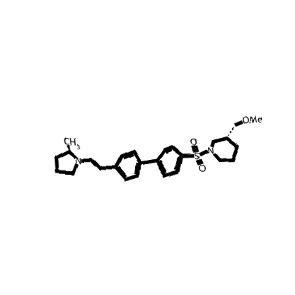 COC[C@@H]1CCCN(S(=O)(=O)c2ccc(-c3ccc(CCN4CCC[C@H]4C)cc3)cc2)C1